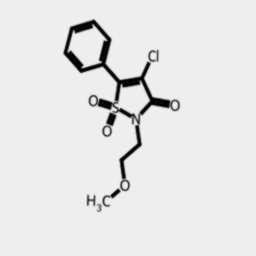 COCCN1C(=O)C(Cl)=C(c2ccccc2)S1(=O)=O